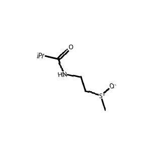 CC(C)C(=O)NCC[S+](C)[O-]